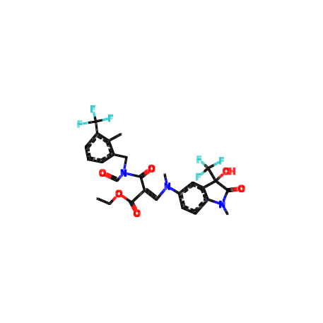 CCOC(=O)/C(=C/N(C)c1ccc2c(c1)C(O)(C(F)(F)F)C(=O)N2C)C(=O)N(C=O)Cc1cccc(C(F)(F)F)c1C